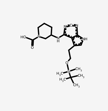 CC(C)(C)[Si](C)(C)OCCc1c[nH]c2ncnc(NC3CCCN(C(=O)O)C3)c12